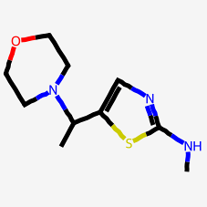 CNc1ncc(C(C)N2CCOCC2)s1